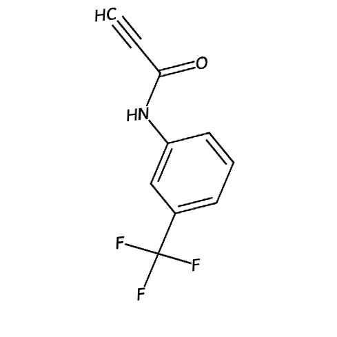 C#CC(=O)Nc1cccc(C(F)(F)F)c1